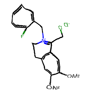 COc1cc2c(cc1OC)C(CCl)=[N+](Cc1ccccc1F)CC2.[Cl-]